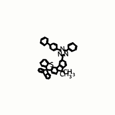 CC1(C)c2ccc(-c3nc(-c4ccccc4)nc(-c4ccc(-c5ccccc5)cc4)n3)cc2-c2c1ccc1c2Sc2ccccc2C12c1ccccc1-c1ccccc12